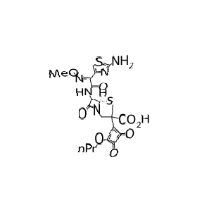 CCCOc1c(C2(C(=O)O)CS[C@@H]3C(NC(=O)C(=NOC)c4csc(N)n4)C(=O)N3C2)c(=O)c1=O